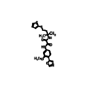 COc1cc(NC(=O)C(=O)NC(C)(C)CCSc2cccs2)ccc1-c1cnco1